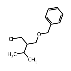 CC(C)C(CCl)COCc1ccccc1